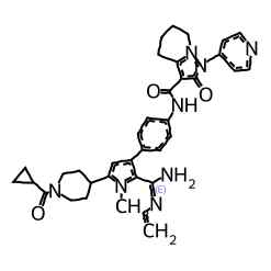 C=C/N=C(/N)c1c(-c2ccc(NC(=O)c3c4n(n(-c5ccncc5)c3=O)CCCC4)cc2)cc(C2CCN(C(=O)C3CC3)CC2)n1C